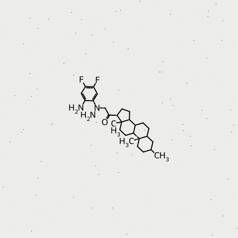 CC1CCC2(C)C(CCC3C2CCC2(C)C(C(=O)CN(N)c4cc(F)c(F)cc4N)CCC32)C1